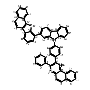 c1ccc(-c2nc3ccc4ccccc4c3nc2-c2ccc(-n3c4ccccc4c4ccc(-c5cccc6c5sc5c7ccccc7ccc65)cc43)cc2)cc1